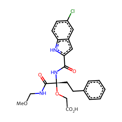 COCNC(=O)[C@](CCc1ccccc1)(NC(=O)c1cc2cc(Cl)ccc2[nH]1)OCC(=O)O